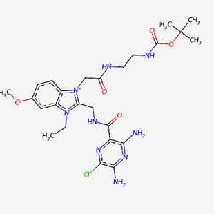 CCn1c(CNC(=O)c2nc(Cl)c(N)nc2N)[n+](CC(=O)NCCNC(=O)OC(C)(C)C)c2ccc(OC)cc21